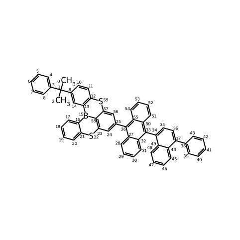 CC(C)(c1ccccc1)c1ccc2c(c1)B1c3ccccc3Sc3cc(-c4c5ccccc5c(-c5ccc(-c6ccccc6)c6ccccc56)c5ccccc45)cc(c31)S2